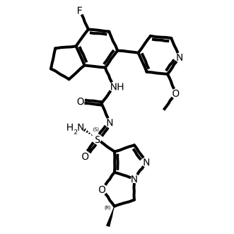 COc1cc(-c2cc(F)c3c(c2NC(=O)N=[S@](N)(=O)c2cnn4c2O[C@H](C)C4)CCC3)ccn1